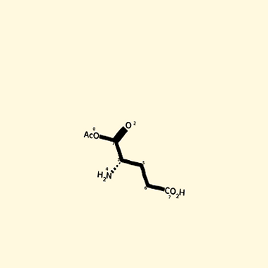 CC(=O)OC(=O)[C@@H](N)CCC(=O)O